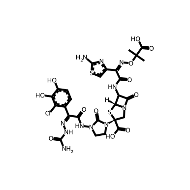 CC(C)(O/N=C(\C(=O)NC1C(=O)N2C[C@@](C(=O)O)(N3CCN(NC(=O)/C(=N\NC(N)=O)c4ccc(O)c(O)c4Cl)C3=O)S[C@H]12)c1csc(N)n1)C(=O)O